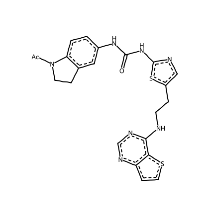 CC(=O)N1CCc2cc(NC(=O)Nc3ncc(CCNc4ncnc5ccsc45)s3)ccc21